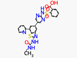 CCNC(=O)Nc1nc2cc(-c3cnc(NS(=O)(=O)c4ccccc4C(=O)O)nc3)cc(-c3ccccn3)c2s1